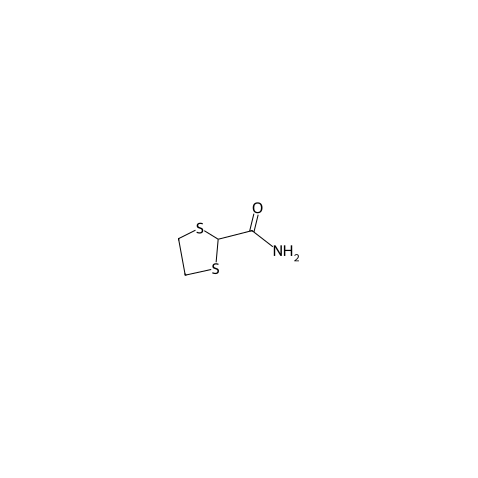 NC(=O)C1SCCS1